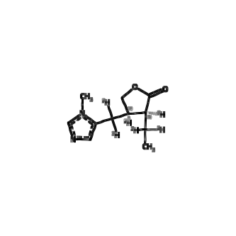 [2H]C([2H])(C)[C@]1([2H])C(=O)OC[C@]1([2H])C([2H])([2H])c1cncn1C